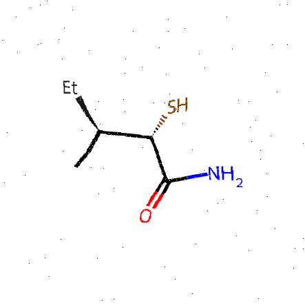 CC[C@H](C)[C@H](S)C(N)=O